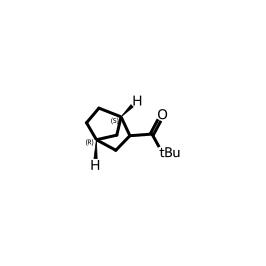 CC(C)(C)C(=O)C1C[C@@H]2CC[C@H]1C2